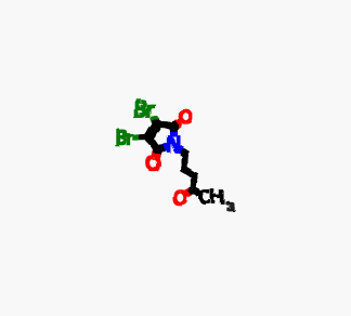 CC(=O)CCCN1C(=O)C(Br)=C(Br)C1=O